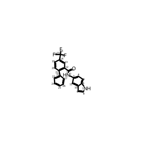 O=C(Nc1ccc2[nH]ccc2c1)c1cc(C(F)(F)F)ccc1-c1ccccc1